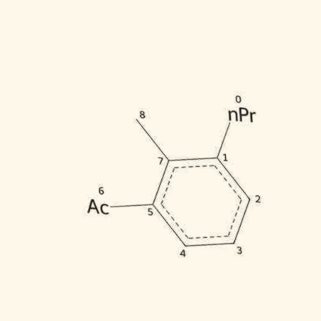 CCCc1cccc(C(C)=O)c1C